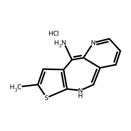 Cc1cc2c(s1)NC=c1cccnc1=C2N.Cl